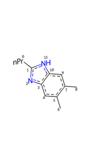 CCCc1nc2cc(C)c(C)cc2[nH]1